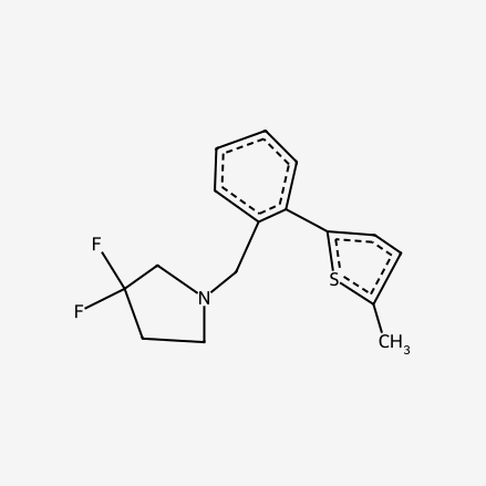 Cc1ccc(-c2ccccc2CN2CCC(F)(F)C2)s1